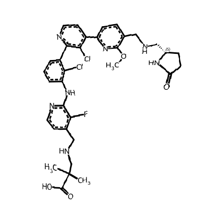 COc1nc(-c2ccnc(-c3cccc(Nc4nccc(CNCC(C)(C)C(=O)O)c4F)c3Cl)c2Cl)ccc1CNC[C@@H]1CCC(=O)N1